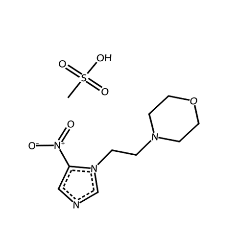 CS(=O)(=O)O.O=[N+]([O-])c1cncn1CCN1CCOCC1